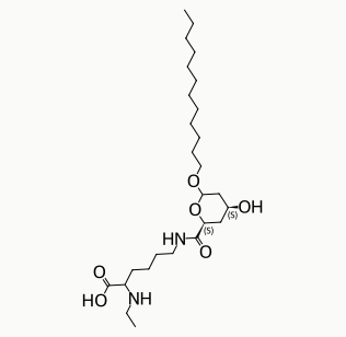 CCCCCCCCCCCCOC1C[C@@H](O)C[C@@H](C(=O)NCCCCC(NCC)C(=O)O)O1